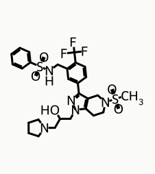 CS(=O)(=O)N1CCc2c(c(-c3ccc(C(F)(F)F)c(CNS(=O)(=O)c4ccccc4)c3)nn2CC(O)CN2CCCC2)C1